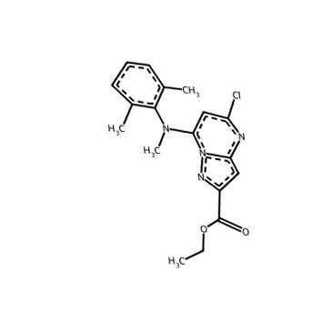 CCOC(=O)c1cc2nc(Cl)cc(N(C)c3c(C)cccc3C)n2n1